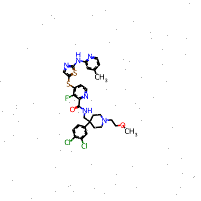 COCCN1CCC(CNC(=O)c2nccc(Sc3cnc(Nc4cc(C)ccn4)s3)c2F)(c2ccc(Cl)c(Cl)c2)CC1